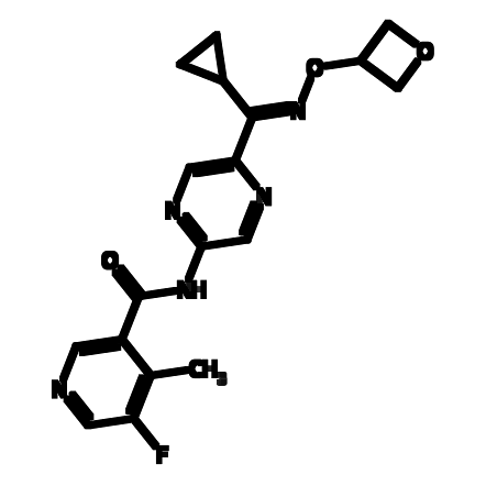 Cc1c(F)cncc1C(=O)Nc1cnc(/C(=N/OC2COC2)C2CC2)cn1